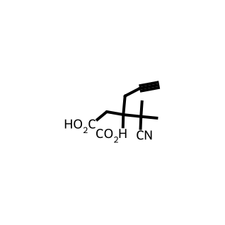 C#CCC(CC(=O)O)(C(=O)O)C(C)(C)C#N